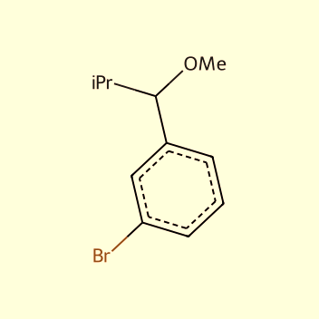 COC(c1cccc(Br)c1)C(C)C